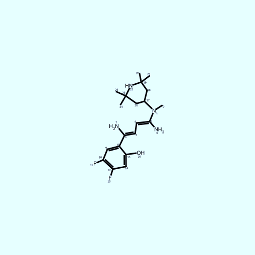 CN(/C(N)=C/C=C(\N)c1cc(F)c(F)cc1O)C1CC(C)(C)NC(C)(C)C1